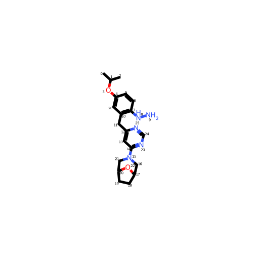 CC(C)Oc1ccc(NN)c(Cc2cc(N3CC4CCC(C3)O4)ncn2)c1